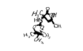 CC(C)(C)OC(=O)N[C@@](C)(CC(=O)O)C(=O)O